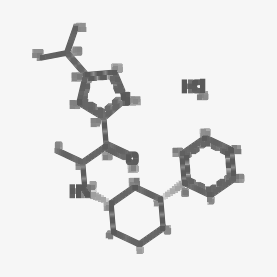 CC(N[C@H]1CCC[C@@H](c2ccccc2)C1)C(=O)c1cc(C(C)C)cs1.Cl